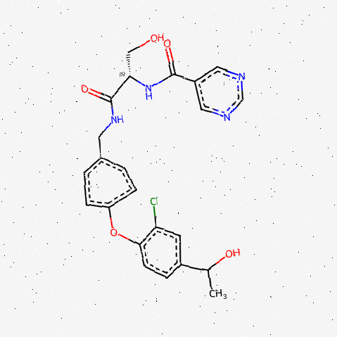 CC(O)c1ccc(Oc2ccc(CNC(=O)[C@H](CO)NC(=O)c3cncnc3)cc2)c(Cl)c1